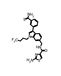 NC(=S)c1cccc(-c2cn(CCCC(F)(F)F)c3cc(CNC(=O)c4csc(N)n4)ccc23)c1